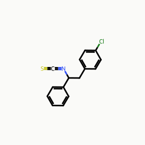 S=C=NC(Cc1ccc(Cl)cc1)c1ccccc1